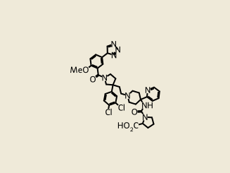 COc1ccc(C2C=NN=N2)cc1C(=O)N1CCC(CCN2CCC(NC(=O)N3CCCC3C(=O)O)(c3ccccn3)CC2)(c2ccc(Cl)c(Cl)c2)C1